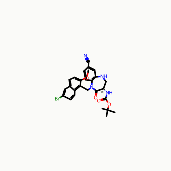 COc1ccc2cc(Br)ccc2c1CN1C(=O)[C@@H](NC(=O)OC(C)(C)C)CNc2cc(C#N)ccc21